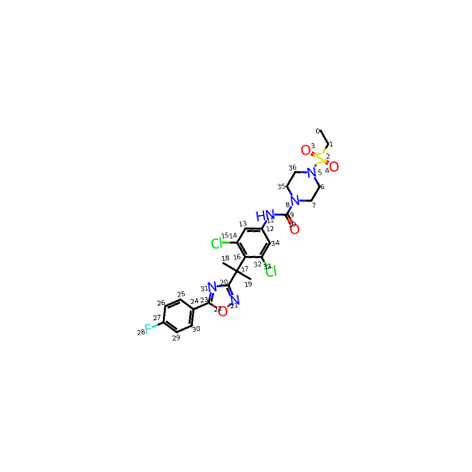 CCS(=O)(=O)N1CCN(C(=O)Nc2cc(Cl)c(C(C)(C)c3noc(-c4ccc(F)cc4)n3)c(Cl)c2)CC1